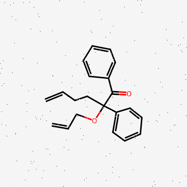 C=CCCC(OCC=C)(C(=O)c1ccccc1)c1ccccc1